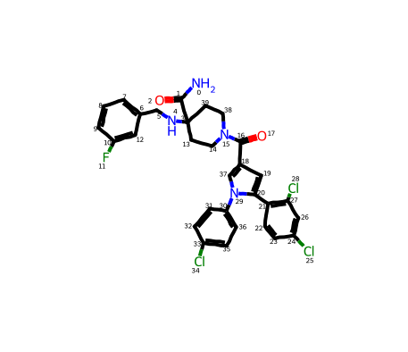 NC(=O)C1(NCc2cccc(F)c2)CCN(C(=O)c2cc(-c3ccc(Cl)cc3Cl)n(-c3ccc(Cl)cc3)c2)CC1